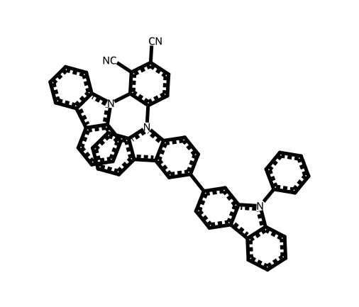 N#Cc1ccc(-n2c3ccccc3c3cc(-c4ccc5c6ccccc6n(-c6ccccc6)c5c4)ccc32)c(-n2c3ccccc3c3ccccc32)c1C#N